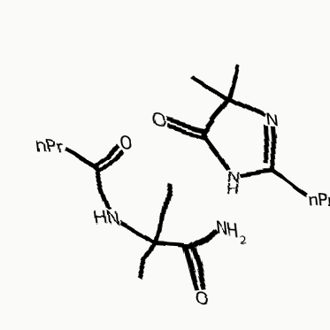 CCCC(=O)NC(C)(C)C(N)=O.CCCC1=NC(C)(C)C(=O)N1